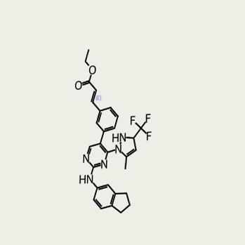 CCOC(=O)/C=C/c1cccc(-c2cnc(Nc3ccc4c(c3)CCC4)nc2N2NC(C(F)(F)F)C=C2C)c1